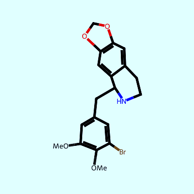 COc1cc(CC2NCCc3cc4c(cc32)OCO4)cc(Br)c1OC